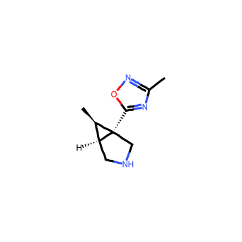 Cc1noc([C@]23CNC[C@H]2[C@H]3C)n1